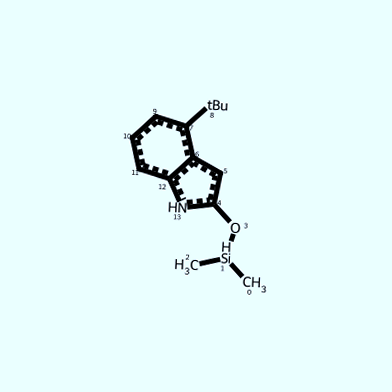 C[SiH](C)Oc1cc2c(C(C)(C)C)cccc2[nH]1